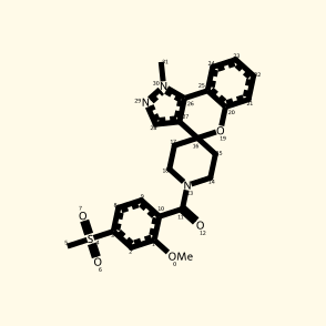 COc1cc(S(C)(=O)=O)ccc1C(=O)N1CCC2(CC1)Oc1ccccc1-c1c2cnn1C